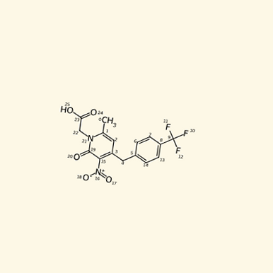 Cc1cc(Cc2ccc(C(F)(F)F)cc2)c([N+](=O)[O-])c(=O)n1CC(=O)O